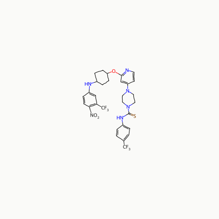 O=[N+]([O-])c1ccc(NC2CCC(Oc3cc(N4CCN(C(=S)Nc5ccc(C(F)(F)F)cc5)CC4)ccn3)CC2)cc1C(F)(F)F